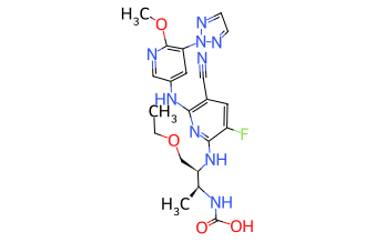 CCOC[C@@H](Nc1nc(Nc2cnc(OC)c(-n3nccn3)c2)c(C#N)cc1F)[C@H](C)NC(=O)O